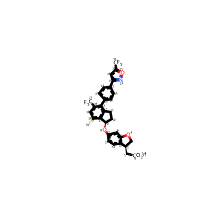 O=C(O)C[C@@H]1COc2cc(O[C@@H]3CCc4c(-c5ccc(-c6cc(C(F)(F)F)on6)cc5)c(C(F)(F)F)cc(F)c43)ccc21